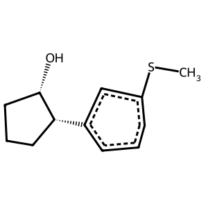 CSc1cccc([C@@H]2CCC[C@@H]2O)c1